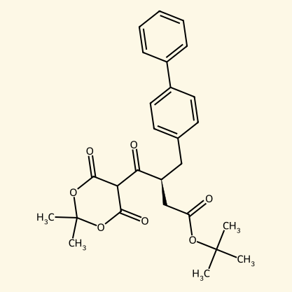 CC(C)(C)OC(=O)C[C@H](Cc1ccc(-c2ccccc2)cc1)C(=O)C1C(=O)OC(C)(C)OC1=O